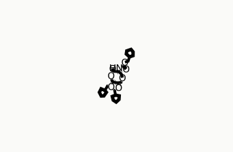 O=C(N[C@H]1COC[C@H](OCc2ccccc2)[C@@H](OCc2ccccc2)COC1=O)OCc1ccccc1